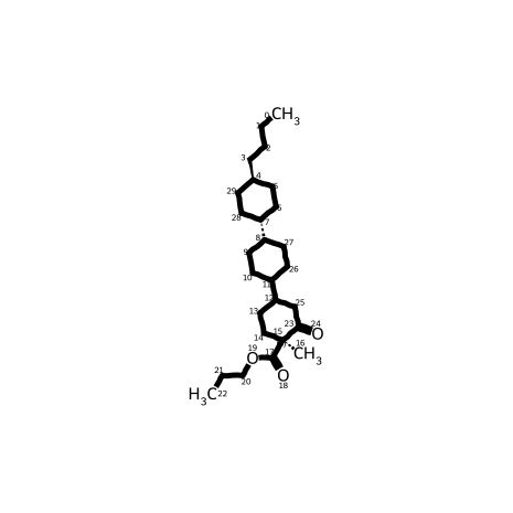 CCCC[C@H]1CC[C@H](C2CCC(C3CC[C@](C)(C(=O)OCCC)C(=O)C3)CC2)CC1